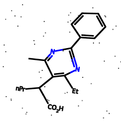 CCCC(C(=O)O)c1c(C)nc(-c2ccccc2)nc1CC